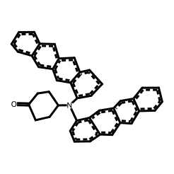 O=C1CCC(N(c2cccc3cc4cc5ccccc5cc4cc23)c2cccc3cc4cc5ccccc5cc4cc23)CC1